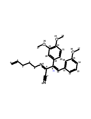 C=CCCCN=C(C#N)/C(=C/c1cccc(OC)c1)c1ccc(OC)c(OC)c1